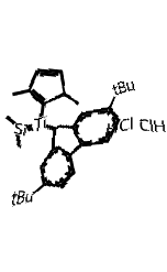 CC1=[C]([Ti]([CH]2c3cc(C(C)(C)C)ccc3-c3ccc(C(C)(C)C)cc32)=[Si](C)C)C(C)C=C1.Cl.Cl